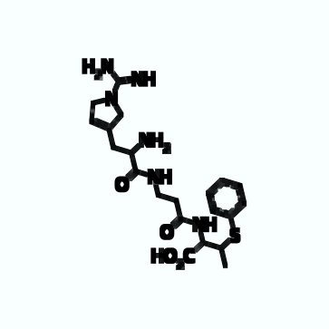 CC(Sc1ccccc1)C(NC(=O)CCNC(=O)C(N)CC1=CCN(C(=N)N)C1)C(=O)O